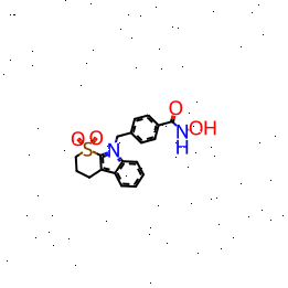 O=C(NO)c1ccc(Cn2c3c(c4ccccc42)CCCS3(=O)=O)cc1